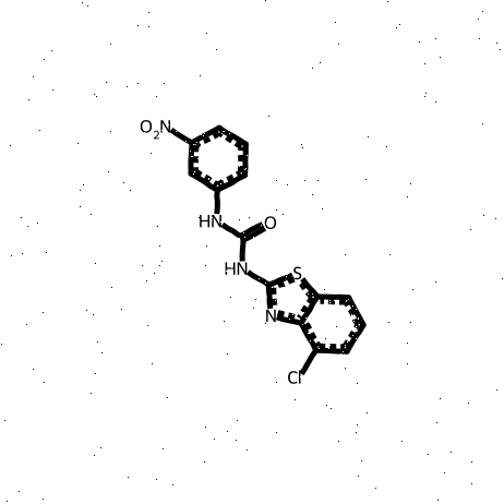 O=C(Nc1cccc([N+](=O)[O-])c1)Nc1nc2c(Cl)cccc2s1